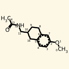 COc1ccc2c(c1)CCC(CNC(C)=O)C2